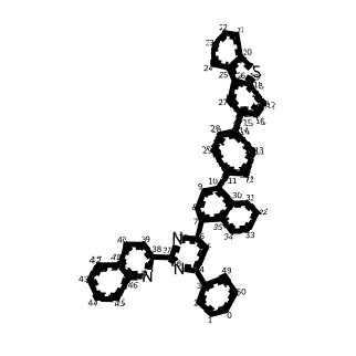 c1ccc(-c2cc(-c3ccc(-c4ccc(-c5ccc6sc7ccccc7c6c5)cc4)c4ccccc34)nc(-c3ccc4ccccc4n3)n2)cc1